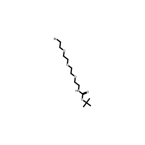 CC(C)(C)OC(=O)NCCOCCOCCOCCBr